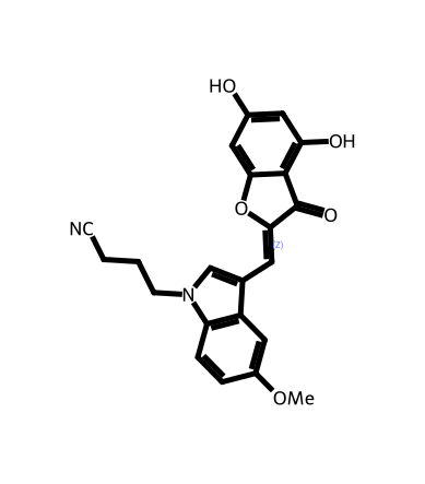 COc1ccc2c(c1)c(/C=C1\Oc3cc(O)cc(O)c3C1=O)cn2CCCC#N